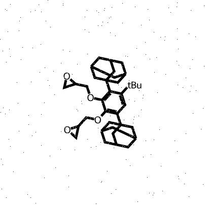 CC(C)(C)c1cc(C23CC4CC(CC(C4)C2)C3)c(OCC2CO2)c(OCC2CO2)c1C12CC3CC(CC(C3)C1)C2